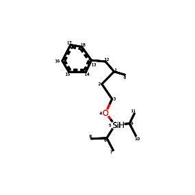 CC(CCO[SiH](C(C)C)C(C)C)Cc1ccccc1